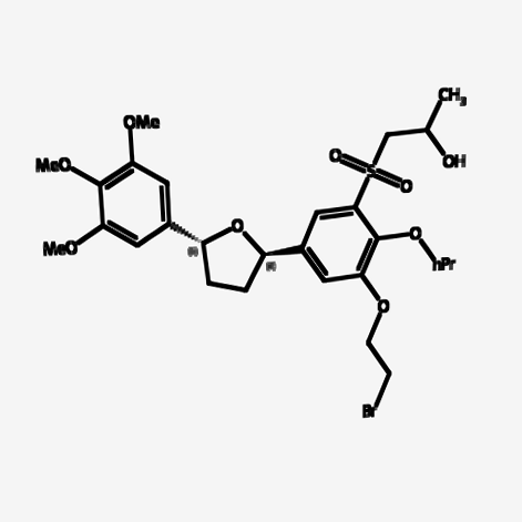 CCCOc1c(OCCBr)cc([C@H]2CC[C@H](c3cc(OC)c(OC)c(OC)c3)O2)cc1S(=O)(=O)CC(C)O